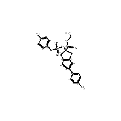 CCOC(=O)C1(NS(=O)(=O)Cc2ccc(F)cc2)Cc2ccc(-c3ccc(Cl)cc3)cc2C1